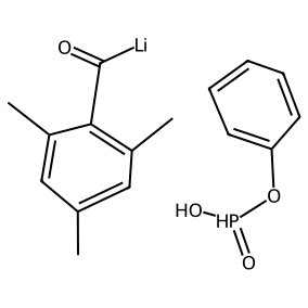 O=[PH](O)Oc1ccccc1.[Li][C](=O)c1c(C)cc(C)cc1C